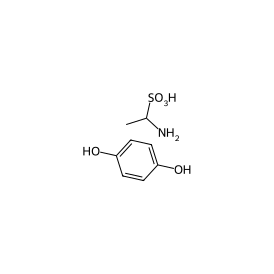 CC(N)S(=O)(=O)O.Oc1ccc(O)cc1